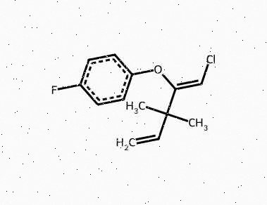 C=CC(C)(C)/C(=C/Cl)Oc1ccc(F)cc1